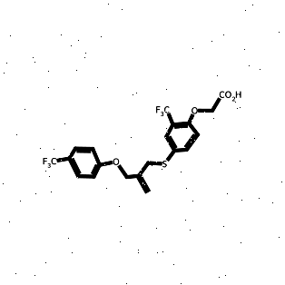 C=C(COc1ccc(C(F)(F)F)cc1)CSc1ccc(OCC(=O)O)c(C(F)(F)F)c1